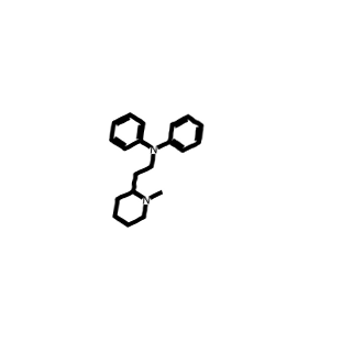 CN1CCCCC1CCN(c1ccccc1)c1ccccc1